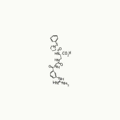 N=C(N)Nc1cccc(C(=O)NCC(=O)NC[C@H](NC(=O)[C@@H]2CCCN2Sc2ccccc2)C(=O)O)c1